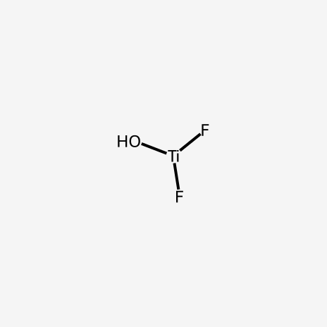 [OH][Ti]([F])[F]